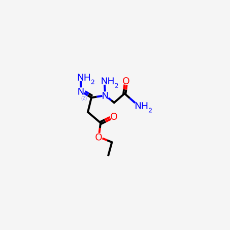 CCOC(=O)C/C(=N/N)N(N)CC(N)=O